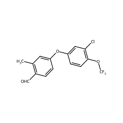 Cc1cc(Oc2ccc(OC(F)(F)F)c(Cl)c2)ccc1C=O